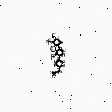 Fc1ccc2c(oc3c(F)c(C4=CCC(CC5CC5)CC4)ccc32)c1F